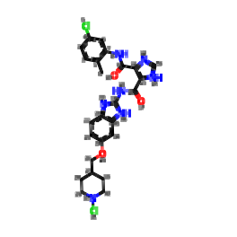 Cc1ccc(Cl)cc1NC(=O)c1nc[nH]c1C(=O)Nc1nc2ccc(OCC3CCN(Cl)CC3)cc2[nH]1